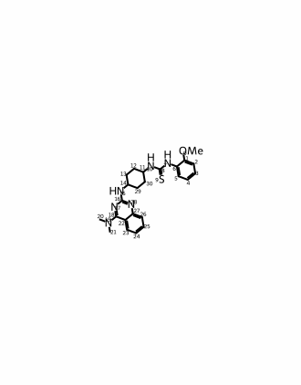 COc1ccccc1NC(=S)NC1CCC(Nc2nc(N(C)C)c3ccccc3n2)CC1